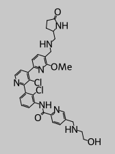 COc1nc(-c2ccnc(-c3cccc(NC(=O)c4ccc(CNCCO)cn4)c3Cl)c2Cl)ccc1CNCC1CCC(=O)N1